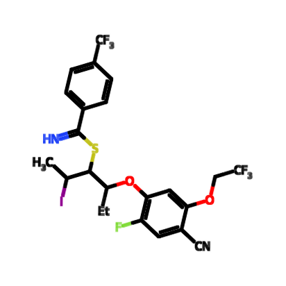 CCC(Oc1cc(OCC(F)(F)F)c(C#N)cc1F)C(SC(=N)c1ccc(C(F)(F)F)cc1)C(C)I